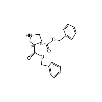 O=C(OCc1ccccc1)[C@H]1CNC[C@@H]1C(=O)OCc1ccccc1